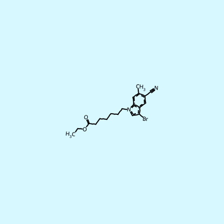 CCOC(=O)CCCCCCn1cc(Br)c2cc(C#N)c(C)cc21